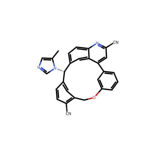 Cc1cncn1[C@H]1c2ccc(C#N)c(c2)COc2cccc(c2)-c2cc(C#N)nc3ccc1cc23